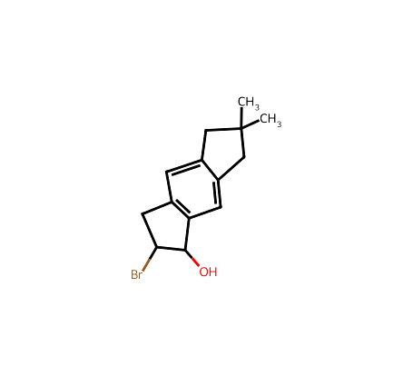 CC1(C)Cc2cc3c(cc2C1)C(O)C(Br)C3